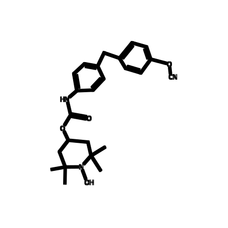 CC1(C)CC(OC(=O)Nc2ccc(Cc3ccc(OC#N)cc3)cc2)CC(C)(C)N1O